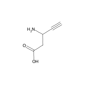 C#CC(N)CC(=O)O